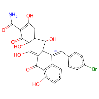 NC(=O)C1=C(O)CC2C(O)C3C(=C(O)C2(O)C1=O)C(=O)c1c(O)cccc1/C3=C\c1ccc(Br)cc1